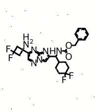 NC1(c2cnn3cc(C(NC(=O)OCc4ccccc4)C4CCC(F)(F)CC4)nc3n2)CC(F)(F)C1